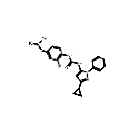 O=C(Nc1ccc(OB(O)O)cc1F)Nc1cc(C2CC2)nn1-c1ccccc1